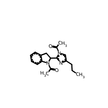 CCCc1cn(C(C)=O)c(C2Cc3ccccc3N2C(C)=O)n1